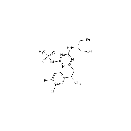 CC(C)C[C@H](CO)Nc1nc(C[C@H](C)c2ccc(F)c(Cl)c2)nc(NS(C)(=O)=O)n1